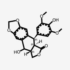 COc1cc([C@@H]2c3cc4c(cc3C(O)[C@H]3COC(=O)[C@H]23)OCO4)cc(OC)c1O